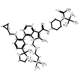 Cc1c(C(=O)N[C@H]2CC[C@H](N(C(=O)O)C(C)(C)C)CC2)c2ncnc(-c3cc(C4(C)OCCO4)ccc3OCC3CC3)c2n1COCC[Si](C)(C)C